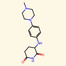 CN1CCN(c2ccc(NC3CCC(=O)NC3=O)cc2)CC1